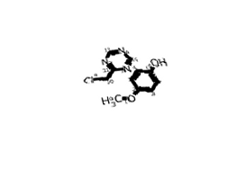 COc1ccc(O)cc1.ClCc1ncncn1